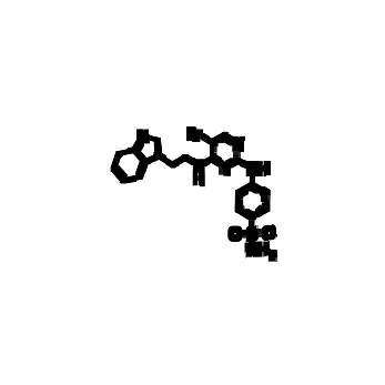 NS(=O)(=O)c1ccc(Nc2ncc(Br)c(NCCC3=CN=C4CC=CC=C34)n2)cc1